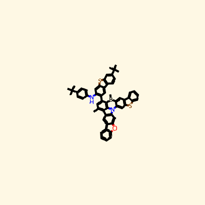 CB1c2cc3c(cc2-n2c4cc5oc6ccccc6c5cc4c4c(C)cc(-c5cc6c(cc5Nc5ccc(C(C)(C)C)cc5)sc5cc(C(C)(C)C)ccc56)c1c42)sc1ccccc13